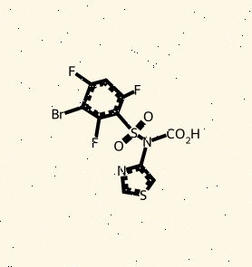 O=C(O)N(c1cscn1)S(=O)(=O)c1c(F)cc(F)c(Br)c1F